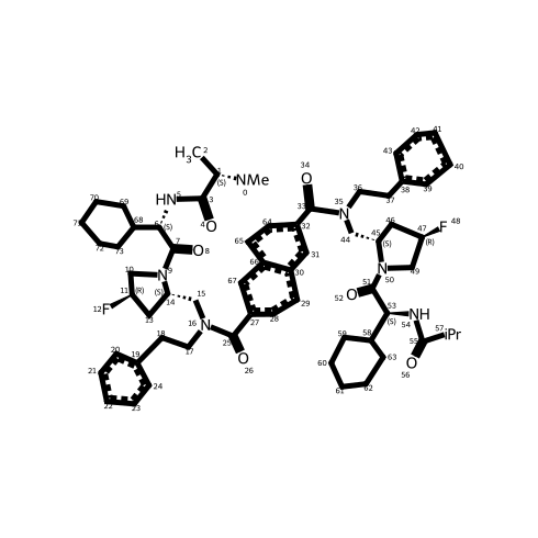 CN[C@@H](C)C(=O)N[C@H](C(=O)N1C[C@H](F)C[C@H]1CN(CCc1ccccc1)C(=O)c1ccc2cc(C(=O)N(CCc3ccccc3)C[C@@H]3C[C@@H](F)CN3C(=O)[C@@H](NC(=O)C(C)C)C3CCCCC3)ccc2c1)C1CCCCC1